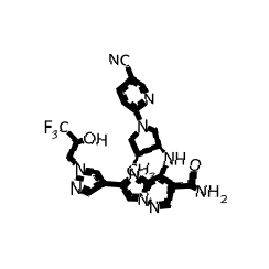 C[C@H]1CN(c2ccc(C#N)cn2)C[C@H]1Nc1c(C(N)=O)cnn2cc(-c3cnn(CC(O)C(F)(F)F)c3)nc12